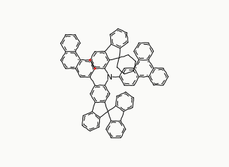 c1ccc2c(c1)-c1cccc(N(c3ccc4c5ccccc5c5ccccc5c4c3)c3cc4c(cc3-c3ccc5c(ccc6ccccc65)c3)-c3ccccc3C43c4ccccc4-c4ccccc43)c1C21CCCCC1